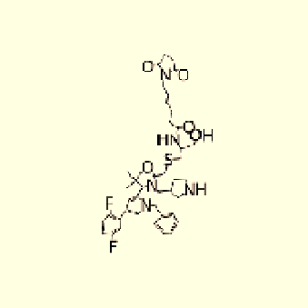 CC(C)(C)[C@H](c1cc(-c2cc(F)ccc2F)cn1Cc1ccccc1)N(CC1CCNC1)C(=O)CSC[C@@H](CO)NC(=O)CCCCCN1C(=O)CCC1=O